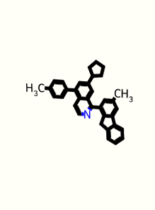 Cc1ccc(-c2cc(C3CCCC3)cc3c(-c4cc(C)cc5c4Cc4ccccc4-5)nccc23)cc1